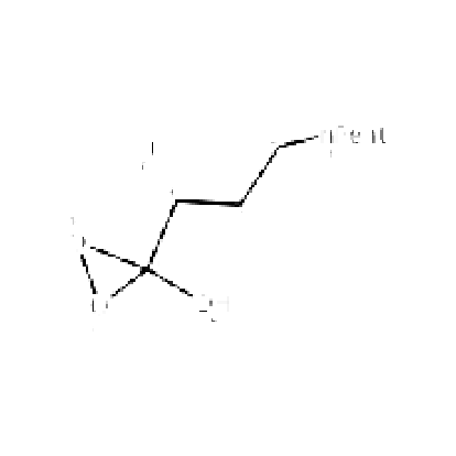 CCCCCCCCC1(O)OO1.[Ti]